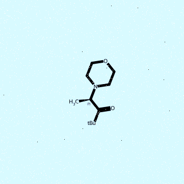 C[C@H](C(=O)C(C)(C)C)N1CCOCC1